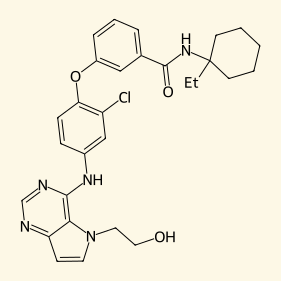 CCC1(NC(=O)c2cccc(Oc3ccc(Nc4ncnc5ccn(CCO)c45)cc3Cl)c2)CCCCC1